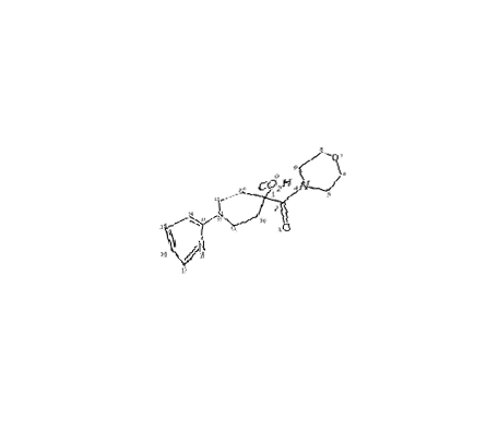 O=C(O)C1(C(=O)N2CCOCC2)CCN(c2ccccn2)CC1